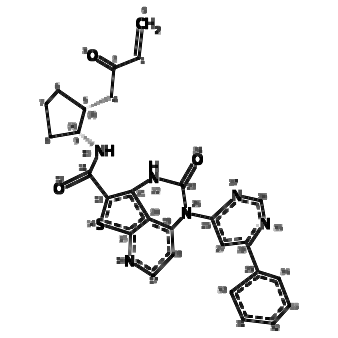 C=CC(=O)C[C@H]1CCC[C@H]1NC(=O)c1sc2nccc3c2c1NC(=O)N3c1cc(-c2ccccc2)ncn1